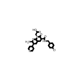 Nc1nc2c(cc1-c1ccncc1)cc(C(=O)NCc1ccc(Cl)cc1)c(=O)n2CC(=O)O